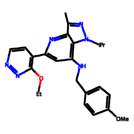 CCOc1nnccc1-c1cc(NCc2ccc(OC)cc2)c2c(n1)c(C)nn2C(C)C